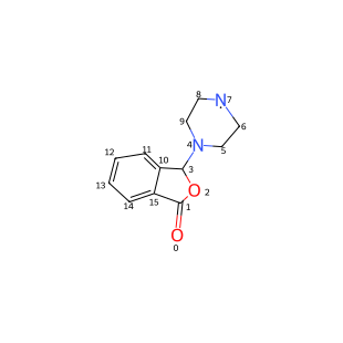 O=C1OC(N2CC[N]CC2)c2ccccc21